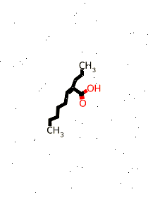 CCCCCC=C(CCC)C(=O)O